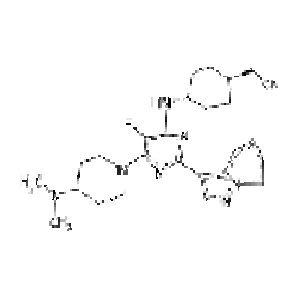 CN(C)C1CCN(c2nc(-c3cnn4ccccc34)nc(N[C@H]3CC[C@H](CC#N)CC3)c2F)CC1